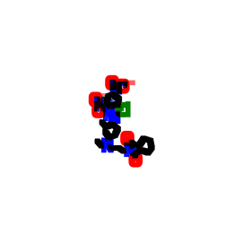 CCN(CCCN1C(=O)c2ccccc2C1=O)c1ccc(/N=N/c2c(Cl)cc([N+](=O)[O-])cc2[N+](=O)[O-])c(C)c1